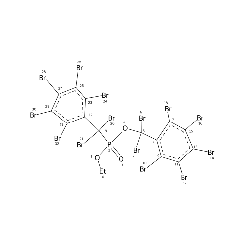 CCOP(=O)(OC(Br)(Br)c1c(Br)c(Br)c(Br)c(Br)c1Br)C(Br)(Br)c1c(Br)c(Br)c(Br)c(Br)c1Br